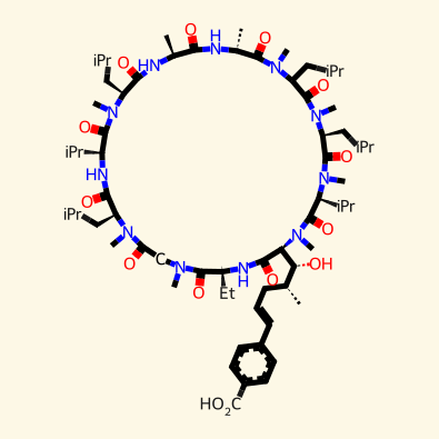 CC[C@@H]1NC(=O)[C@H]([C@H](O)[C@H](C)C/C=C/c2ccc(C(=O)O)cc2)N(C)C(=O)[C@H](C(C)C)N(C)C(=O)[C@H](CC(C)C)N(C)C(=O)C(CC(C)C)N(C)C(=O)[C@@H](C)NC(=O)[C@H](C)NC(=O)[C@H](CC(C)C)N(C)C(=O)[C@H](C(C)C)NC(=O)[C@H](CC(C)C)N(C)C(=O)CN(C)C1=O